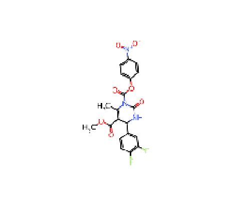 COC(=O)C1=C(C)N(C(=O)Oc2ccc([N+](=O)[O-])cc2)C(=O)NC1c1ccc(F)c(F)c1